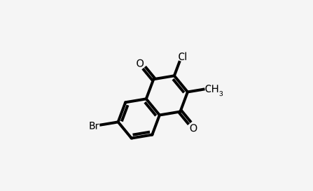 CC1=C(Cl)C(=O)c2cc(Br)ccc2C1=O